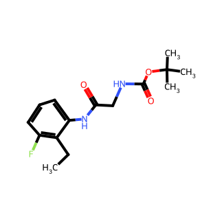 CCc1c(F)cccc1NC(=O)CNC(=O)OC(C)(C)C